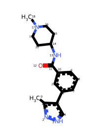 Cc1n[nH]cc1-c1c[c]cc(C(=O)NC2CCN(C)CC2)c1